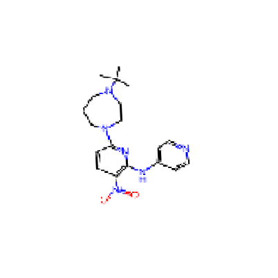 CC(C)(C)N1CCCN(c2ccc([N+](=O)[O-])c(Nc3ccncc3)n2)CC1